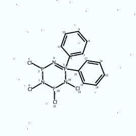 ClN1P(Cl)N=P(c2ccccc2)(c2ccccc2)N(Cl)P1Cl